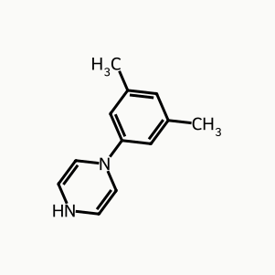 Cc1cc(C)cc(N2C=CNC=C2)c1